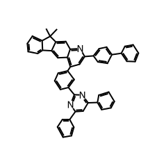 CC1(C)c2ccccc2-c2cc3c(-c4cccc(-c5nc(-c6ccccc6)cc(-c6ccccc6)n5)c4)cc(-c4ccc(-c5ccccc5)cc4)nc3cc21